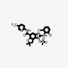 CC1(C)Cc2c(c(C(=O)Nc3ccc(C(F)(F)F)cn3)cc3c2N(OS(C)(=O)=O)C(Nc2c(Cl)cccc2Cl)N3)O1